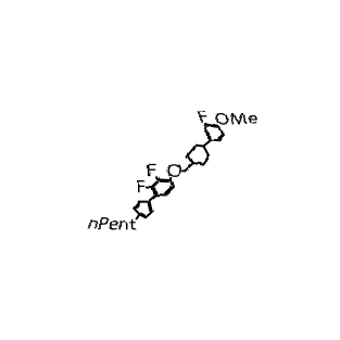 CCCCCc1ccc(-c2ccc(OCC3CCC(c4ccc(OC)c(F)c4)CC3)c(F)c2F)cc1